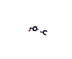 CCOC(=O)C1(C)C(=O)Nc2cc(NC(=O)c3ccncc3)c(N)cc21